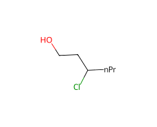 CCCC(Cl)CCO